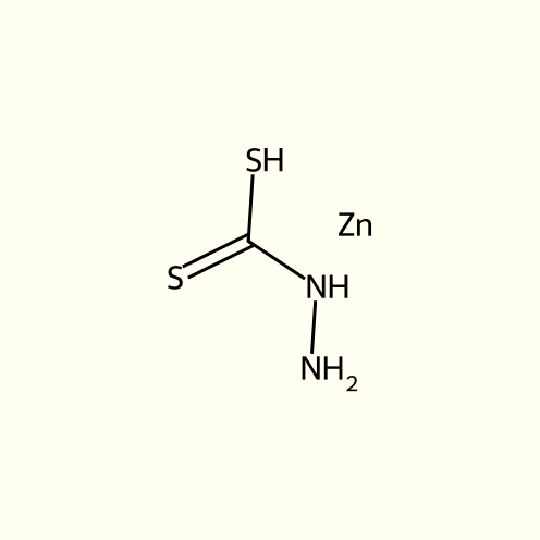 NNC(=S)S.[Zn]